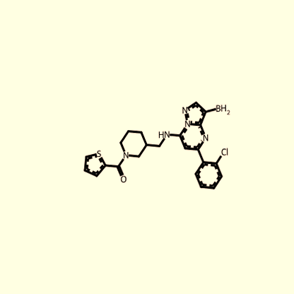 Bc1cnn2c(NCC3CCCN(C(=O)c4cccs4)C3)cc(-c3ccccc3Cl)nc12